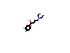 CCN(CC)C/C=C/C(=O)c1ccccc1